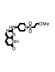 COCCS(=O)(=O)N1CCC(Nc2ncc3ccc(=O)[nH]c3n2)CC1